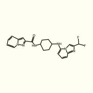 O=C(NC1CCC(Nc2cccc3nc(C(F)F)cn23)CC1)c1cc2ccccn2n1